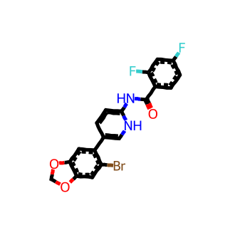 O=C(NC1=C=CC(c2cc3c(cc2Br)OCO3)=CN1)c1ccc(F)cc1F